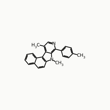 Cc1ccc(-c2ncc(C)c3c4c5ccccc5ccc4n(C)c23)cc1